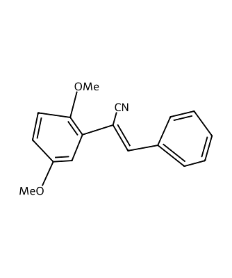 COc1ccc(OC)c(/C(C#N)=C/c2ccccc2)c1